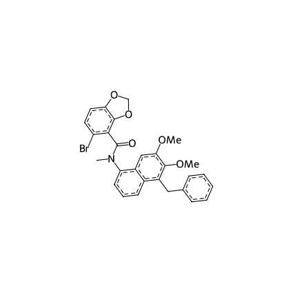 COc1cc2c(N(C)C(=O)c3c(Br)ccc4c3OCO4)cccc2c(Cc2ccccc2)c1OC